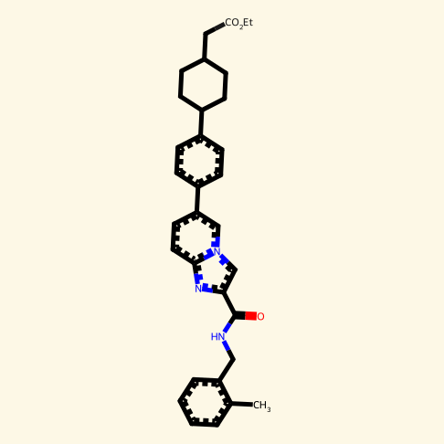 CCOC(=O)CC1CCC(c2ccc(-c3ccc4nc(C(=O)NCc5ccccc5C)cn4c3)cc2)CC1